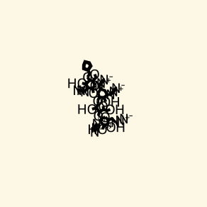 [N-]=[N+]=NCC1O[C@H](OC2C(CO)OC(OC3C(O)C(N=[N+]=[N-])CC(N=[N+]=[N-])C3OC3OC4COC(c5ccccc5)OC4C(O)C3N=[N+]=[N-])C2O)C(N=[N+]=[N-])C(O)[C@@H]1O